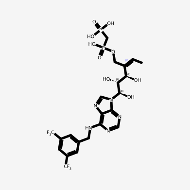 C/C=C(/COP(=O)(O)CP(=O)(O)O)[C@@H](O)[C@@H](O)[C@@H](O)n1cnc2c(NCc3cc(C(F)(F)F)cc(C(F)(F)F)c3)ncnc21